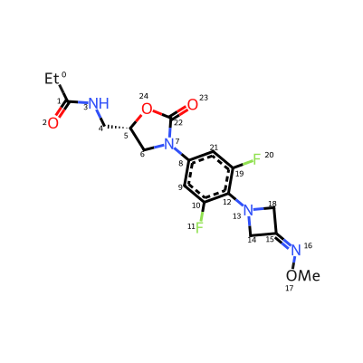 CCC(=O)NC[C@H]1CN(c2cc(F)c(N3CC(=NOC)C3)c(F)c2)C(=O)O1